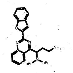 CCCN(CCC)C(CCN)c1nc(-c2cc3ccccc3o2)nc2ccccc12